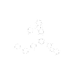 c1ccc(-c2cccc(-c3ccc(-c4nc(-c5ccc6c(c5)sc5ccccc56)nc(-c5ccc6c7ccccc7n(-c7ccccc7)c6c5)n4)cc3)c2)cc1